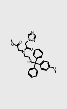 COC(=O)CN(CCNC(c1ccccc1)(c1ccccc1)c1ccc(OC)cc1)C(=O)Cn1cncn1